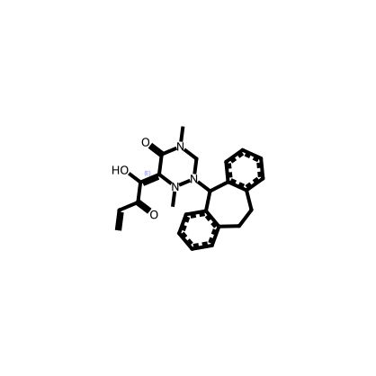 C=CC(=O)/C(O)=C1/C(=O)N(C)CN(C2c3ccccc3CCc3ccccc32)N1C